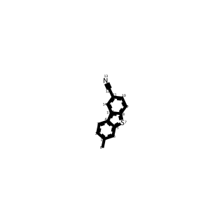 Cc1ccc2c(c1)sc1ccc(C#N)cc12